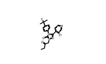 CCC(=O)Cn1nc(-c2ccncc2Cl)n(-c2ccc(C(C)(C)F)cc2)c1=O